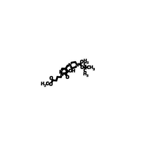 COC(=O)CCCn1ncc(CN2CCN(C(=O)OC(C)(C)C)CC2)c(O)c1=O